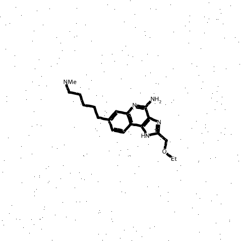 CCOCc1nc2c(N)nc3cc(CCCCCNC)ccc3c2[nH]1